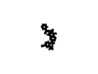 CN(C(=O)C1(NC(=O)c2cncnc2)CC1)c1ccc(Nc2ccc(Br)cc2C(F)(F)F)cn1